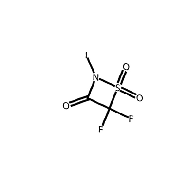 O=C1N(I)S(=O)(=O)C1(F)F